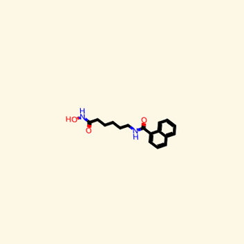 O=C(CCCCCNC(=O)c1cccc2ccccc12)NO